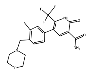 Cc1cc(-c2cc(C(N)=O)c(=O)[nH]c2C(F)(F)F)ccc1CN1CCOCC1